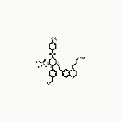 COCCCN1CCOc2ccc(CO[C@H]3CN(S(=O)(=O)c4ccc(C)cc4)C[C@@H](O[Si](C(C)C)(C(C)C)C(C)C)[C@@H]3c3ccc(CCl)cc3)cc21